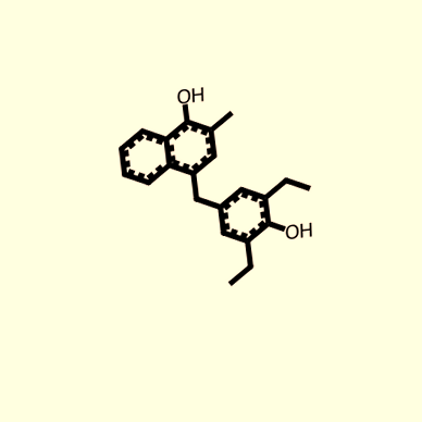 CCc1cc(Cc2cc(C)c(O)c3ccccc23)cc(CC)c1O